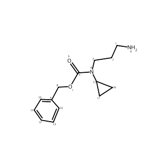 NCCCN(C(=O)OCc1ccccc1)C1CC1